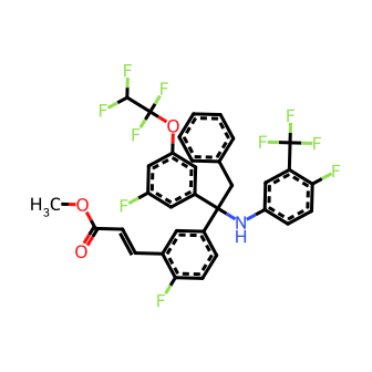 COC(=O)C=Cc1cc(C(Cc2ccccc2)(Nc2ccc(F)c(C(F)(F)F)c2)c2cc(F)cc(OC(F)(F)C(F)F)c2)ccc1F